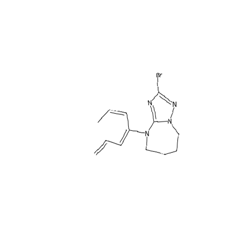 C=C/C=C(\C=C/C)N1CCCCn2nc(Br)nc21